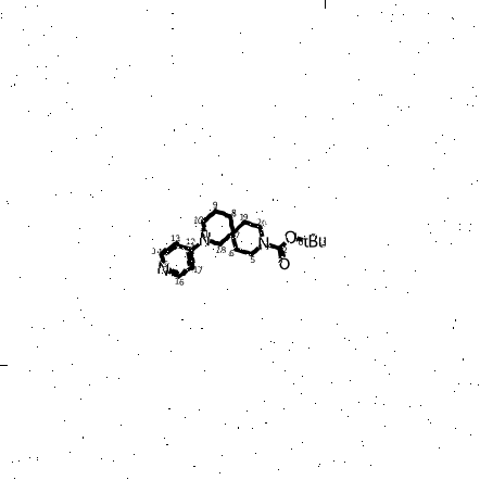 CC(C)(C)OC(=O)N1CCC2(CCCN(c3ccncc3)C2)CC1